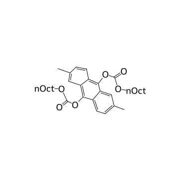 CCCCCCCCOC(=O)Oc1c2ccc(C)cc2c(OC(=O)OCCCCCCCC)c2ccc(C)cc12